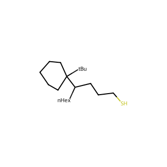 CCCCCCC(CCCS)C1(C(C)(C)C)CCCCC1